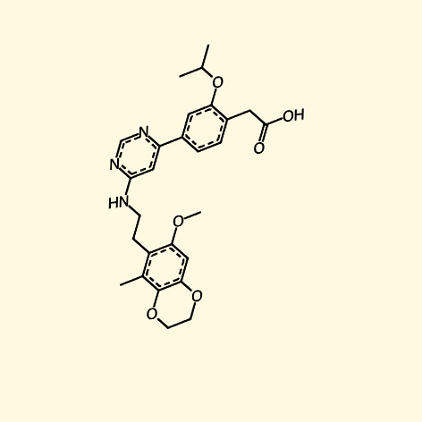 COc1cc2c(c(C)c1CCNc1cc(-c3ccc(CC(=O)O)c(OC(C)C)c3)ncn1)OCCO2